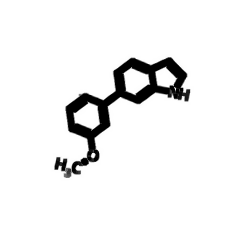 COc1cc[c]c(-c2ccc3cc[nH]c3c2)c1